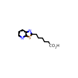 O=C(O)CCCCCc1nc2cccnc2s1